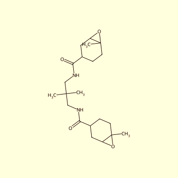 CC(C)(CNC(=O)C1CCC2(C)OC2C1)CNC(=O)C1CCC2(C)OC2C1